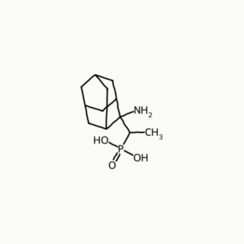 CC(C1(N)C2CC3CC(C2)CC1C3)P(=O)(O)O